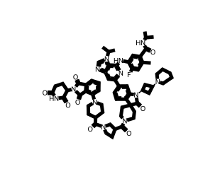 Cc1cc(F)c(Nc2nc(-c3ccc4c(c3)N([C@H]3C[C@@H](N5CCCCC5)C3)C(=O)C43CCN(C(=O)C4CCN(C(=O)C5CCN(c6cccc7c6C(=O)N(C6CCC(=O)NC6=O)C7=O)CC5)C4)CC3)cc3ncn(C(C)C)c23)cc1C(=O)NC(C)C